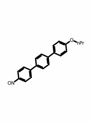 CCCOc1ccc(-c2ccc(-c3ccc(N=O)cc3)cc2)cc1